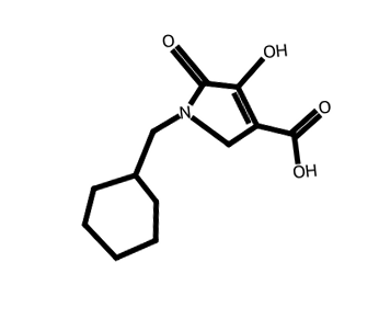 O=C(O)C1=C(O)C(=O)N(CC2CCCCC2)C1